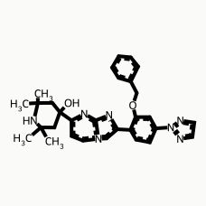 CC1(C)CC(O)(c2ccn3cc(-c4ccc(-n5nccn5)cc4OCc4ccccc4)nc3n2)CC(C)(C)N1